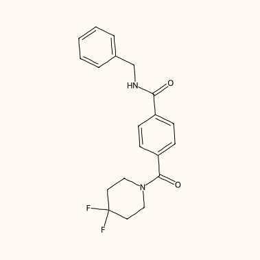 O=C(NCc1ccccc1)c1ccc(C(=O)N2CCC(F)(F)CC2)cc1